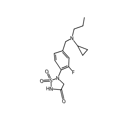 CCCN(Cc1ccc(N2CC(=O)NS2(=O)=O)c(F)c1)C1CC1